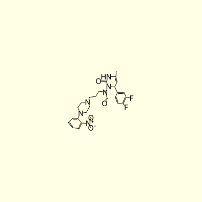 CC1=CC(c2ccc(F)c(F)c2)N(N(C=O)CCCN2CCN(c3ccccc3[N+](=O)[O-])CC2)C(=O)N1